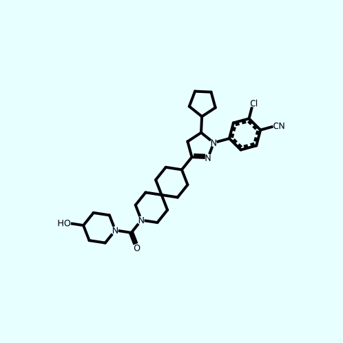 N#Cc1ccc(N2N=C(C3CCC4(CC3)CCN(C(=O)N3CCC(O)CC3)CC4)CC2C2CCCC2)cc1Cl